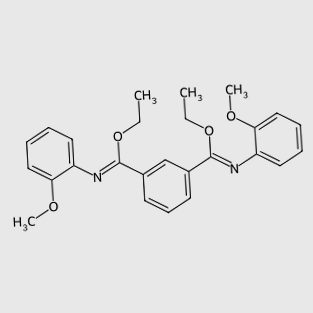 CCO/C(=N\c1ccccc1OC)c1cccc(/C(=N/c2ccccc2OC)OCC)c1